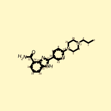 CCCN1CCN(c2ccc(-c3nc4c(C(N)=O)cccc4[nH]3)cn2)CC1